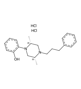 C[C@@H]1CN(c2ccccc2O)[C@H](C)CN1CCCc1ccccc1.Cl.Cl